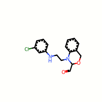 O=CC1OCc2ccccc2N1CCNc1cccc(Cl)c1